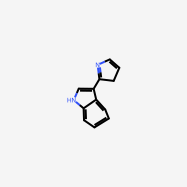 C1=CN=C(c2c[nH]c3ccccc23)C1